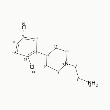 NCCN1CCC(c2cc(Cl)ccc2Cl)CC1